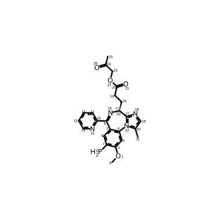 COc1cc2c(cc1P)C(c1ccccn1)=N[C@@H](CCC(=O)OCC(C)=O)c1ncc(C)n1-2